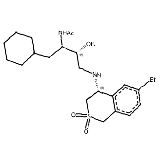 CCc1ccc2c(c1)[C@@H](NC[C@@H](O)C(CC1CCCCC1)NC(C)=O)CS(=O)(=O)C2